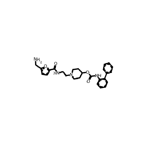 NCc1ccc(C(=O)NCCN2CCC(OC(=O)Nc3ccccc3-c3ccccc3)CC2)o1